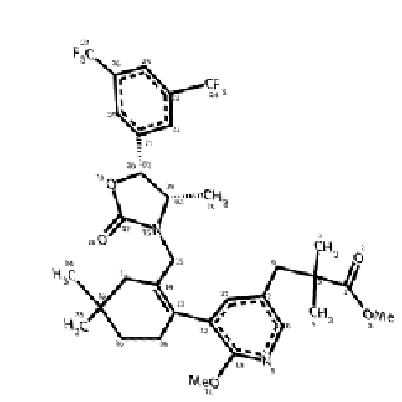 COC(=O)C(C)(C)Cc1cnc(OC)c(C2=C(CN3C(=O)O[C@H](c4cc(C(F)(F)F)cc(C(F)(F)F)c4)[C@@H]3C)CC(C)(C)CC2)c1